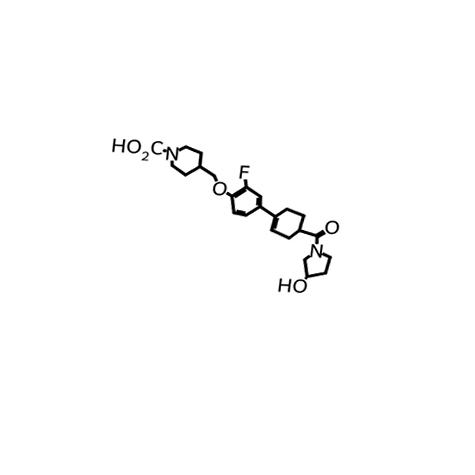 O=C(O)N1CCC(COc2ccc(C3=CCC(C(=O)N4CC[C@@H](O)C4)CC3)cc2F)CC1